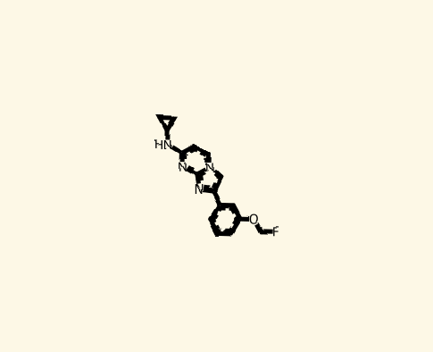 FCOc1cccc(-c2cn3ccc(NC4CC4)nc3n2)c1